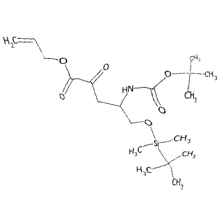 C=CCOC(=O)C(=O)CC(CO[Si](C)(C)C(C)(C)C)NC(=O)OC(C)(C)C